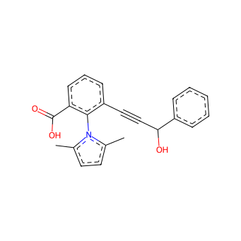 Cc1ccc(C)n1-c1c(C#CC(O)c2ccccc2)cccc1C(=O)O